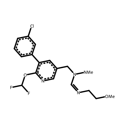 CNN(/C=N\CCOC)Cc1cnc(OC(F)F)c(-c2cccc(Cl)c2)c1